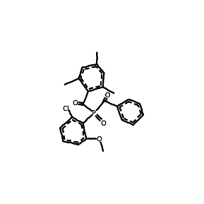 COc1cccc(Cl)c1P(=O)(C(=O)c1ccccc1)C(=O)c1c(C)cc(C)cc1C